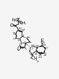 CN(CC[C@@]1(C=O)CCC2C=C(C(=O)NO)C=CC2C1)c1cccc(F)c1F